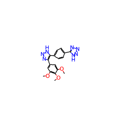 COc1cc(-c2nn[nH]c2-c2ccc(-c3nnn[nH]3)cc2)cc(OC)c1OC